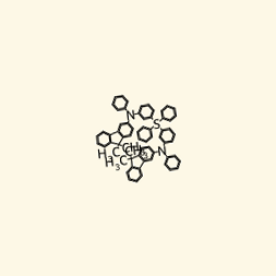 CC1(C)c2ccccc2-c2cc(N(c3ccccc3)c3cccc(S(c4ccccc4)(c4ccccc4)c4cccc(N(c5ccccc5)c5ccc6c(c5)-c5ccccc5C6(C)C)c4)c3)ccc21